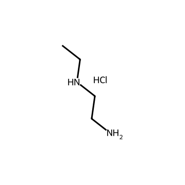 CCNCCN.Cl